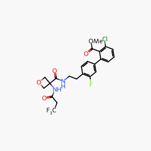 COC(=O)c1c(Cl)cccc1-c1ccc(CCNC(=O)C2(NC(=O)CC(F)(F)F)COC2)c(F)c1